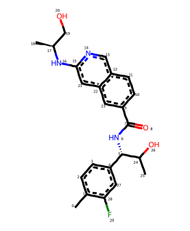 Cc1ccc([C@H](NC(=O)c2ccc3cnc(N[C@@H](C)CO)cc3c2)C(C)O)cc1F